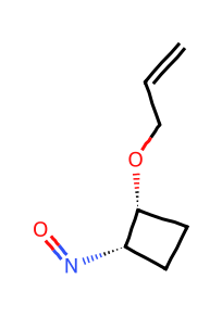 C=CCO[C@@H]1CC[C@@H]1N=O